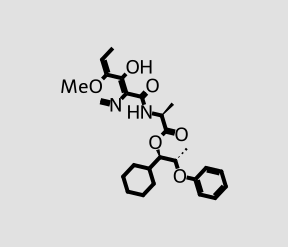 C=N/C(C(=O)N[C@@H](C)C(=O)O[C@H](C1CCCCC1)[C@H](C)Oc1ccccc1)=C(O)\C(=C/C)OC